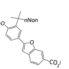 CCCCCCCCCC(C)(C)c1cc(-c2cc3ccc(C(=O)O)cc3o2)ccc1OC